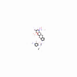 C=CCN(CC(=O)Nc1ccc2c(c1O)C(=O)C1=C(O)[C@]3(O)C(=O)C(C(N)=O)=C(O)[C@@H](N(C)C)C3CC1C2)c1ccc(N(C)C)cc1